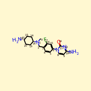 CN(Cc1ccc(-n2ccc(N)nc2=O)cc1F)[C@H]1CC[C@H](N)CC1